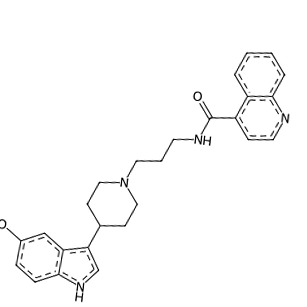 COc1ccc2[nH]cc(C3CCN(CCCNC(=O)c4ccnc5ccccc45)CC3)c2c1